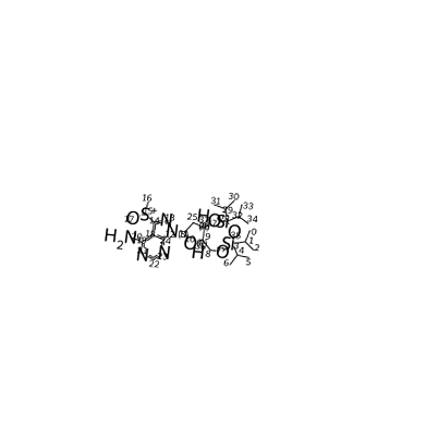 CC(C)[Si]1(C(C)C)OC[C@H]2O[C@H](n3nc([S+](C)[O-])c4c(N)ncnc43)C[C@H]2O[Si](C(C)C)(C(C)C)O1